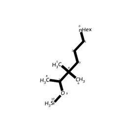 CCCCCCCCCC(C)(C)C(C)O[SiH3]